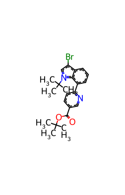 CC(C)(C)OC(=O)c1ccc(-c2cccc3c(Br)cn(C(C)(C)C)c23)nc1